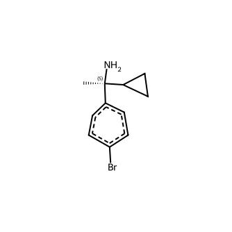 C[C@@](N)(c1ccc(Br)cc1)C1CC1